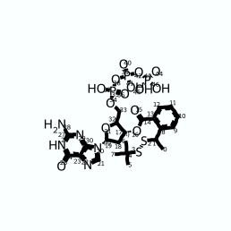 CC(SSC(C)(C)C)c1ccccc1C(=O)O[C@@H]1C[C@H](n2cnc3c(=O)[nH]c(N)nc32)OC1COP(=O)(O)OP(=O)(O)OP(=O)(O)O